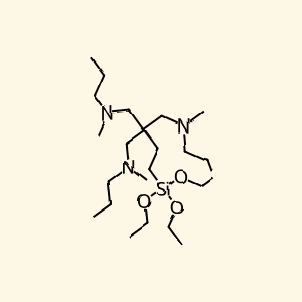 CCCN(C)CC(CC[Si](OCC)(OCC)OCC)(CN(C)CCC)CN(C)CCC